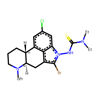 CCCN1CCC[C@@H]2c3cc(Cl)cc4c3c(c(Br)n4NC(=S)N(CC)CC)C[C@H]21